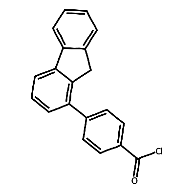 O=C(Cl)c1ccc(-c2cccc3c2Cc2ccccc2-3)cc1